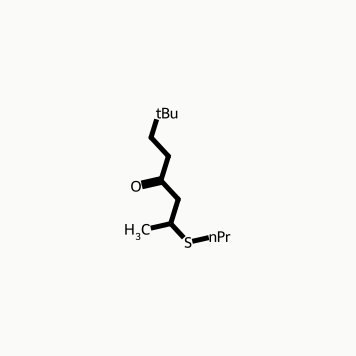 CCCSC(C)CC(=O)CCC(C)(C)C